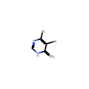 C=C1NC=NC(CC)=C1C(C)C